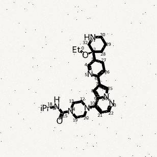 CCO[C@]1(C2C=NC(c3cc4c(N5CCN(C(=O)NC(C)C)CC5)ccnn4c3)=CC2)CCCNC1